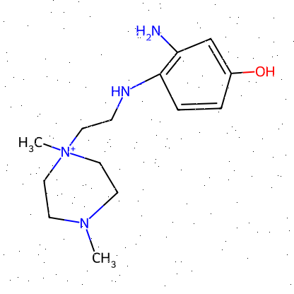 CN1CC[N+](C)(CCNc2ccc(O)cc2N)CC1